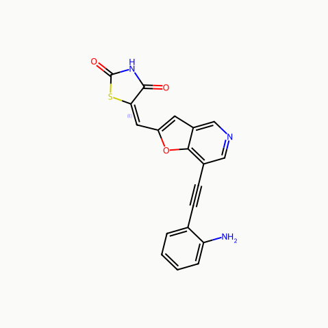 Nc1ccccc1C#Cc1cncc2cc(/C=C3/SC(=O)NC3=O)oc12